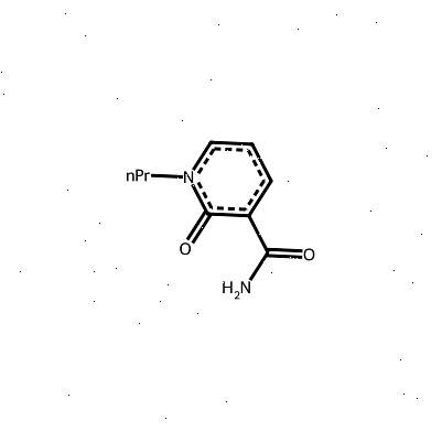 CCCn1cccc(C(N)=O)c1=O